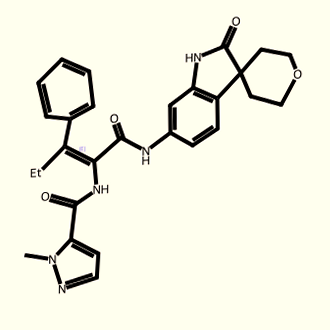 CC/C(=C(\NC(=O)c1ccnn1C)C(=O)Nc1ccc2c(c1)NC(=O)C21CCOCC1)c1ccccc1